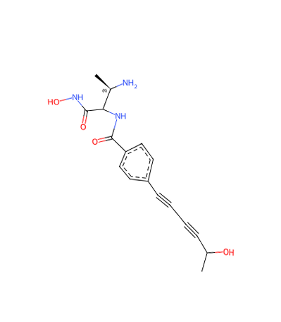 CC(O)C#CC#Cc1ccc(C(=O)NC(C(=O)NO)[C@@H](C)N)cc1